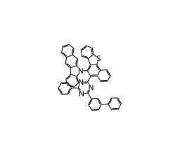 c1ccc(-c2cccc(-c3nc(-c4ccccc4)nc(-c4c(-n5c6ccccc6c6cc7ccccc7cc65)c5c6ccccc6sc5c5ccccc45)n3)c2)cc1